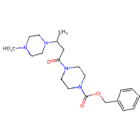 CC(CC(=O)N1CCN(C(=O)OCc2ccccc2)CC1)N1CCN(C(=O)O)CC1